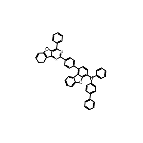 C1=Cc2oc3c(-c4ccccc4)nc(-c4ccc(-c5ccc(N(c6ccccc6)c6ccc(-c7ccccc7)cc6)c6oc7ccccc7c56)cc4)nc3c2CC1